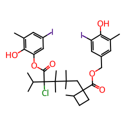 Cc1cc(COC(=O)C2(CC(C)(C)C(C)(C)C(Cl)(C(=O)Oc3cc(I)cc(C)c3O)C(C)C)CCC2C)cc(I)c1O